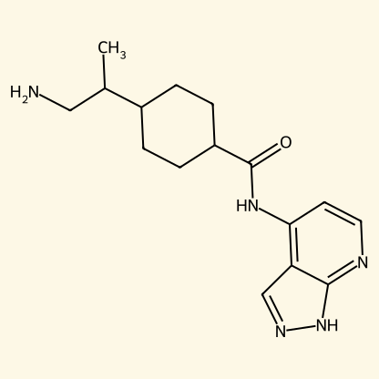 CC(CN)C1CCC(C(=O)Nc2ccnc3[nH]ncc23)CC1